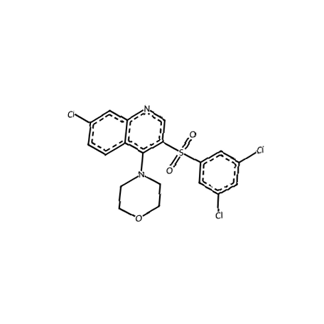 O=S(=O)(c1cc(Cl)cc(Cl)c1)c1cnc2cc(Cl)ccc2c1N1CCOCC1